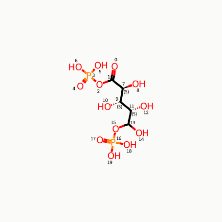 O=C(OP(=O)(O)O)[C@@H](O)[C@@H](O)[C@H](O)C(O)OP(=O)(O)O